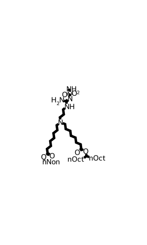 CCCCCCCCCOC(=O)CCCCCCCN(CCCCCCCC(=O)OC(CCCCCCCC)CCCCCCCC)CCCN/C(N)=N/S(N)(=O)=O